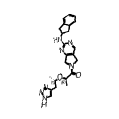 C[C@@H](Cc1c[nH]nn1)O[C@H](C)C(=O)N1Cc2cnc(NC3Cc4ccccc4C3)nc2C1